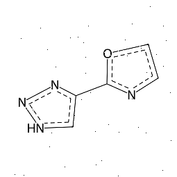 c1coc(-c2c[nH]nn2)n1